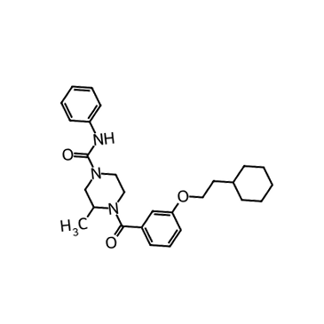 CC1CN(C(=O)Nc2ccccc2)CCN1C(=O)c1cccc(OCCC2CCCCC2)c1